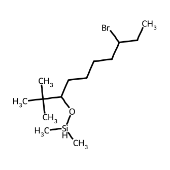 CCC(Br)CCCCC(O[SiH](C)C)C(C)(C)C